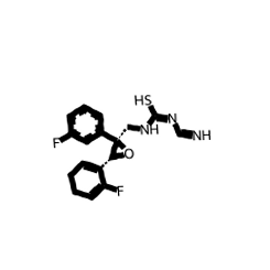 N=C/N=C(/S)NC[C@]1(c2cccc(F)c2)O[C@@H]1C1=CCCC=C1F